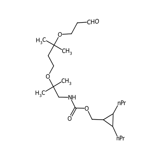 CCCC1C(CCC)C1COC(=O)NCC(C)(C)OCCC(C)(C)OCCC=O